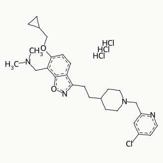 CN(C)Cc1c(OCC2CC2)ccc2c(CCC3CCN(Cc4cc(Cl)ccn4)CC3)noc12.Cl.Cl.Cl